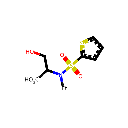 CCN(C(CO)C(=O)O)S(=O)(=O)c1cccs1